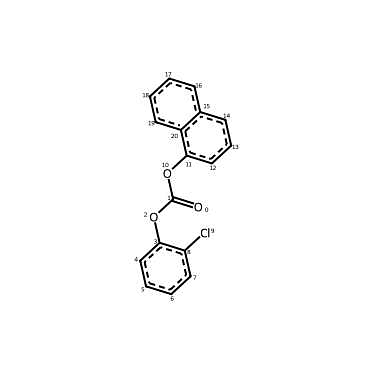 O=C(Oc1ccccc1Cl)Oc1cccc2ccccc12